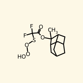 CC1(OC(=O)C(F)(F)SOOO)C2CC3CC(C2)CC1C3